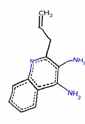 C=CCc1nc2ccccc2c(N)c1N